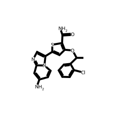 CC(Oc1cc(-c2cnc3cc(N)ccn23)sc1C(N)=O)c1ccccc1Cl